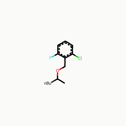 CCCCC(C)OCc1c(F)cccc1Cl